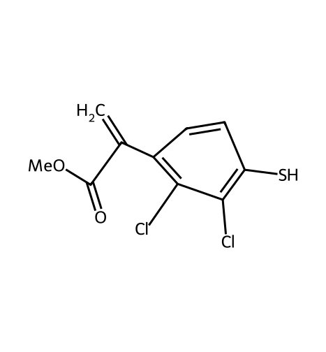 C=C(C(=O)OC)c1ccc(S)c(Cl)c1Cl